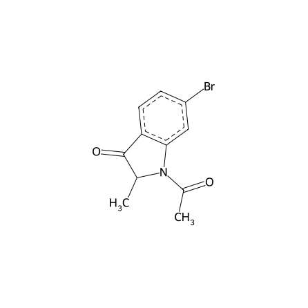 CC(=O)N1c2cc(Br)ccc2C(=O)C1C